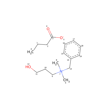 CCCC(=O)[O-].C[N+](C)(CCCO)Cc1ccccc1